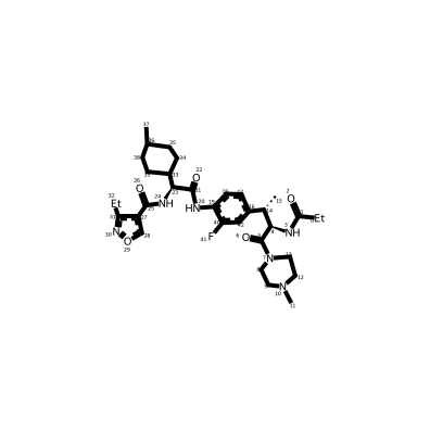 CCC(=O)N[C@@H](C(=O)N1CCN(C)CC1)[C@@H](C)c1ccc(NC(=O)[C@@H](NC(=O)c2conc2CC)C2CCC(C)CC2)c(F)c1